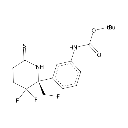 CC(C)(C)OC(=O)Nc1cccc([C@@]2(CF)NC(=S)CCC2(F)F)c1